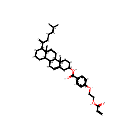 C=CC(=O)OCCOc1ccc(C(=O)OC2CCC3(C)C(=CCC4C3CCC3(C)C(C(C)CCCC(C)C)CCCC43)C2)cc1